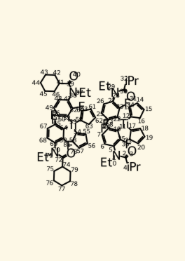 CCN(C(=O)C(C)C)c1ccc(F)[c]([Ti]([C]2=CC=CC2)([C]2=CC=CC2)[c]2c(F)ccc(N(CC)C(=O)C(C)C)c2F)c1F.CCN(C(=O)C1CCCCC1)c1ccc(F)[c]([Ti]([C]2=CC=CC2)([C]2=CC=CC2)[c]2c(F)ccc(N(CC)C(=O)C3CCCCC3)c2F)c1F